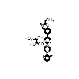 Cc1cccnc1N1CCN(c2ncc(-c3cccc(CN(C)C(=O)CN)c3)cn2)CC1.O=C(O)C(O)C(O)C(=O)O